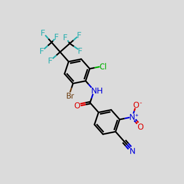 N#Cc1ccc(C(=O)Nc2c(Cl)cc(C(F)(C(F)(F)F)C(F)(F)F)cc2Br)cc1[N+](=O)[O-]